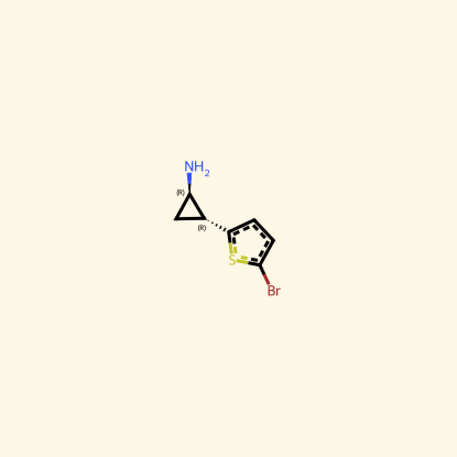 N[C@@H]1C[C@H]1c1ccc(Br)s1